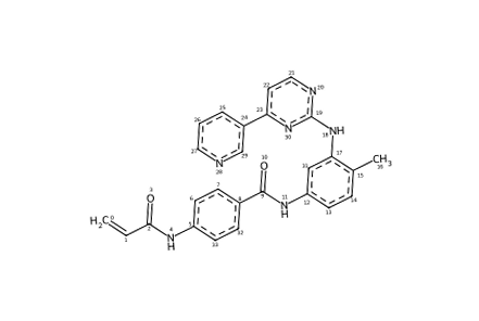 C=CC(=O)Nc1ccc(C(=O)Nc2ccc(C)c(Nc3nccc(-c4cccnc4)n3)c2)cc1